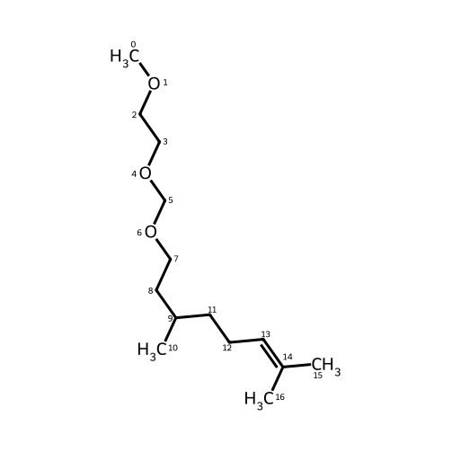 COCCOCOCCC(C)CCC=C(C)C